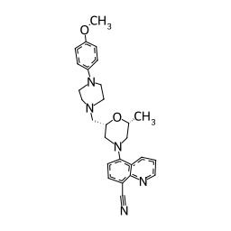 COc1ccc(N2CCN(C[C@H]3CN(c4ccc(C#N)c5ncccc45)C[C@@H](C)O3)CC2)cc1